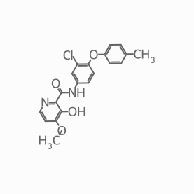 COc1ccnc(C(=O)Nc2ccc(Oc3ccc(C)cc3)c(Cl)c2)c1O